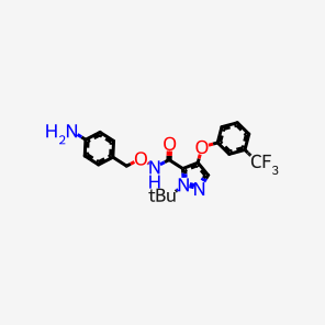 CC(C)(C)n1ncc(Oc2cccc(C(F)(F)F)c2)c1C(=O)NOCc1ccc(N)cc1